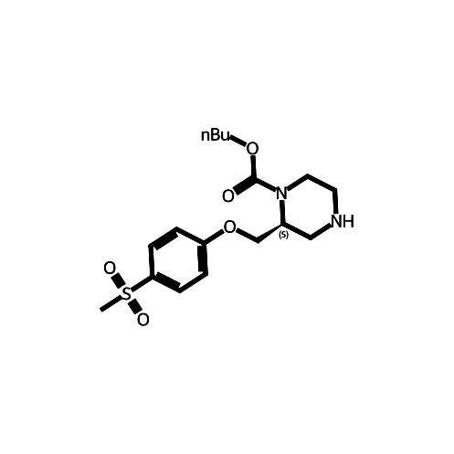 CCCCOC(=O)N1CCNC[C@H]1COc1ccc(S(C)(=O)=O)cc1